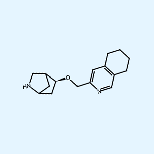 c1nc(CO[C@H]2CC3CC2CN3)cc2c1CCCC2